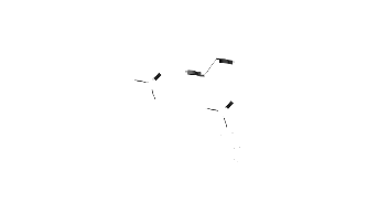 O.O=CC=O.O=S([O-])O.O=S([O-])O.[Na+].[Na+]